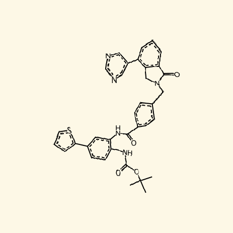 CC(C)(C)OC(=O)Nc1ccc(-c2cccs2)cc1NC(=O)c1ccc(CN2Cc3c(cccc3-c3cncnc3)C2=O)cc1